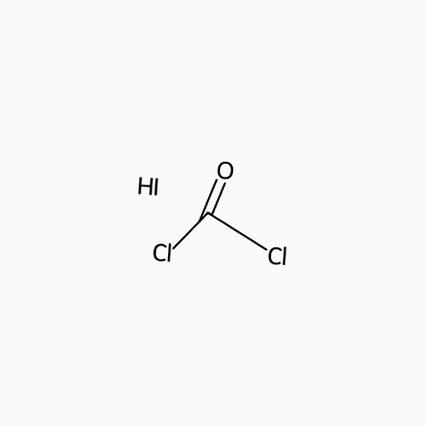 I.O=C(Cl)Cl